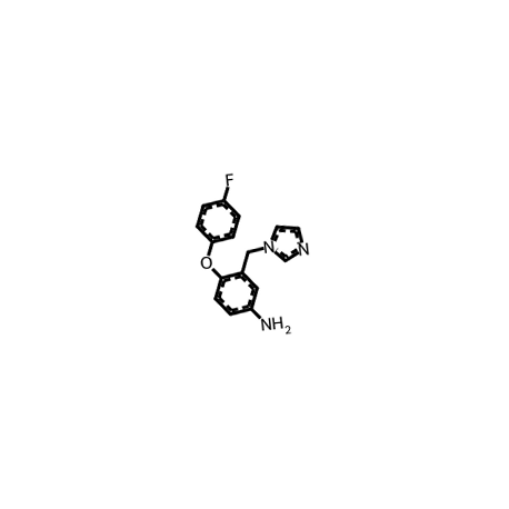 Nc1ccc(Oc2ccc(F)cc2)c(Cn2ccnc2)c1